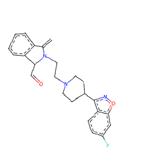 C=C1c2ccccc2C(C=O)N1CCN1CCC(c2noc3cc(F)ccc23)CC1